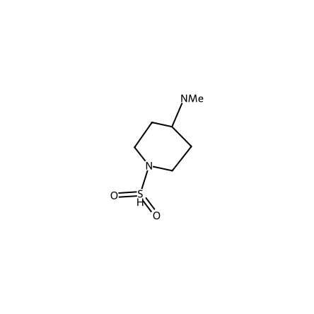 CNC1CCN([SH](=O)=O)CC1